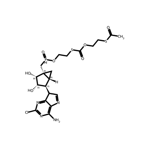 CC(=O)SCCOC(=O)SCCO[PH](=O)C[C@]12C[C@@H]1[C@@H](C1C=Nc3c(N)nc(Cl)nc31)[C@H](O)[C@@H]2O